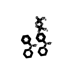 O=S(=O)(OS(=O)(=O)C(F)(F)F)C(F)(F)F.[O-][S+](c1ccccc1)N1CCCCC1.[O-][S+](c1ccccc1)N1CCCCC1